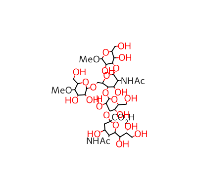 COC1OC(CO)C(O)C(OC2OC(COC3OC(CO)C(OC)C(O)C3O)C(OC3OC(CO)C(O)C(OC4(C(=O)O)CC(O)C(NC(C)=O)C(C(O)[C@H](O)CO)O4)C3O)C(O)C2NC(C)=O)C1O